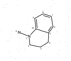 [N]N1CCCc2ccccc21